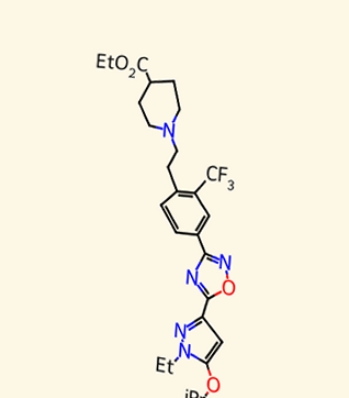 CCOC(=O)C1CCN(CCc2ccc(-c3noc(-c4cc(OC(C)C)n(CC)n4)n3)cc2C(F)(F)F)CC1